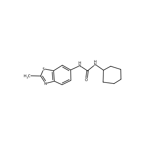 Cc1nc2ccc(NC(=O)NC3CCCCC3)cc2s1